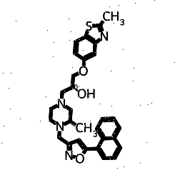 Cc1nc2cc(OC[C@H](O)CN3CCN(Cc4cc(-c5cccc6ccccc56)on4)C(C)C3)ccc2s1